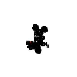 CC(C)C[C@H](NC(=O)[C@H](Cc1ccccc1)N1C(=O)[C@H](NC(=O)[C@@H](CCc2ccccc2)NC(=O)CN2CCOCC2)CC1C)C(=O)[C@]1(C)CO1